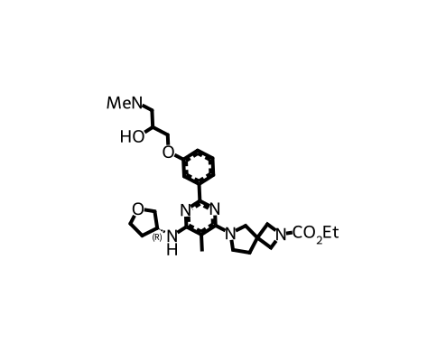 CCOC(=O)N1CC2(CCN(c3nc(-c4cccc(OCC(O)CNC)c4)nc(N[C@@H]4CCOC4)c3C)C2)C1